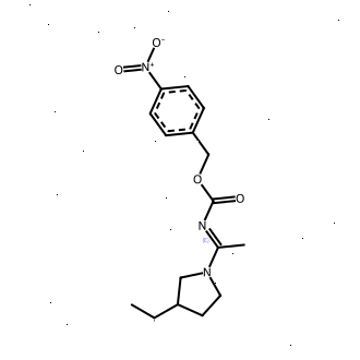 C[CH]C1CCN(/C(C)=N/C(=O)OCc2ccc([N+](=O)[O-])cc2)C1